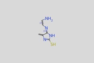 C=C1N=C(S)N/C1=N/C=C\N